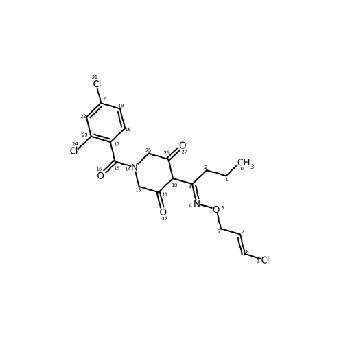 CCC/C(=N\OCC=CCl)C1C(=O)CN(C(=O)c2ccc(Cl)cc2Cl)CC1=O